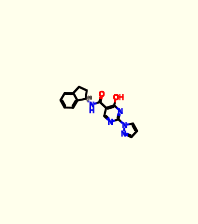 O=C(N[C@H]1CCc2ccccc21)c1cnc(-n2cccn2)nc1O